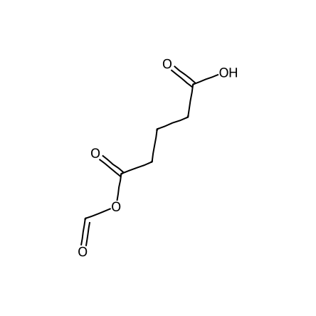 O=COC(=O)CCCC(=O)O